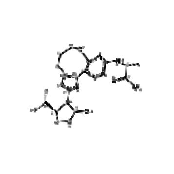 CC(Nc1ccc2c(c1)OCCCn1cc(N3C(=O)OC[C@H]3C(F)F)nc1-2)C(N)=O